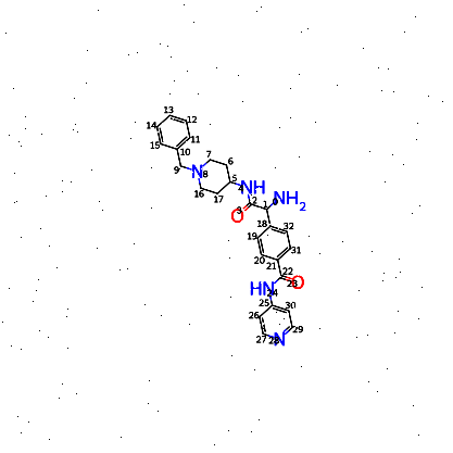 NC(C(=O)NC1CCN(Cc2ccccc2)CC1)c1ccc(C(=O)Nc2ccncc2)cc1